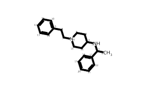 CC(NC1CCN(CCc2ccccc2)CC1)c1ccccc1